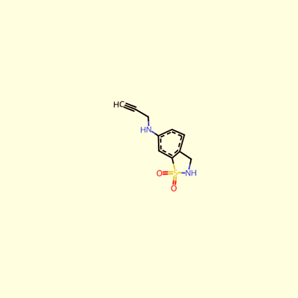 C#CCNc1ccc2c(c1)S(=O)(=O)NC2